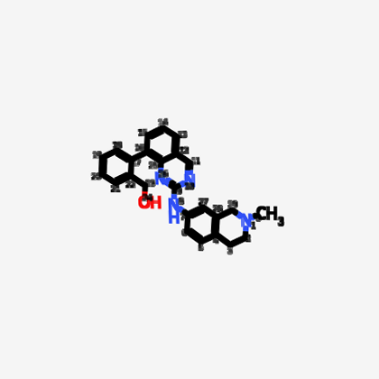 CN1CCc2ccc(Nc3ncc4cccc(-c5ccccc5CO)c4n3)cc2C1